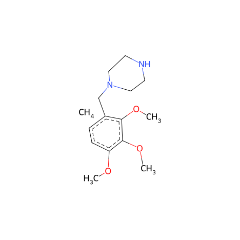 C.COc1ccc(CN2CCNCC2)c(OC)c1OC